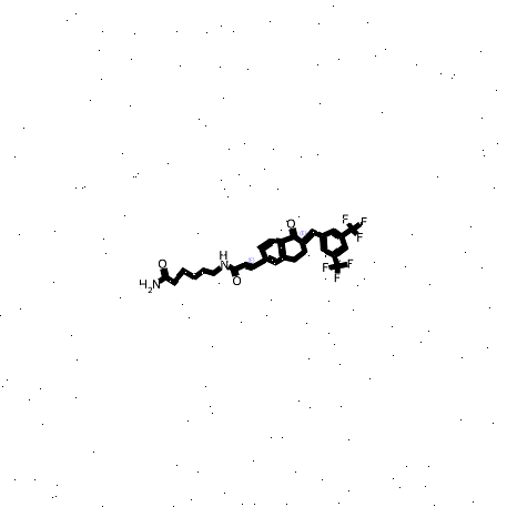 NC(=O)CCCCCNC(=O)/C=C/c1ccc2c(c1)CC/C(=C\c1cc(C(F)(F)F)cc(C(F)(F)F)c1)C2=O